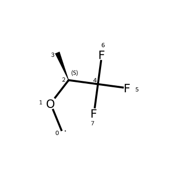 [CH2]O[C@@H](C)C(F)(F)F